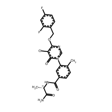 Cc1ccc(C(=O)N[C@@H](C)C(N)=O)cc1-n1cnc(OCc2ccc(F)cc2F)c(Cl)c1=O